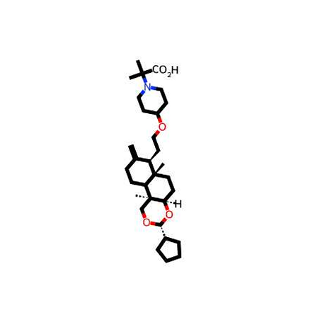 C=C1CCC2[C@]3(C)CO[C@@H](C4CCCC4)O[C@@H]3CC[C@@]2(C)[C@@H]1CCOC1CCN(C(C)(C)C(=O)O)CC1